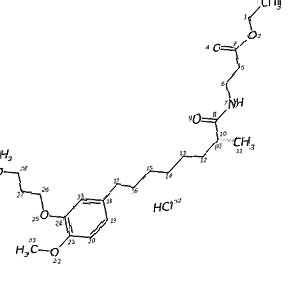 CCOC(=O)CCNC(=O)[C@H](C)CCCCCCc1ccc(OC)c(OCCCOC)c1.Cl